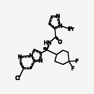 CC(C)n1nccc1C(=O)N[C@H](c1cn2ncc(Cl)cc2n1)C1CCC(F)(F)CC1